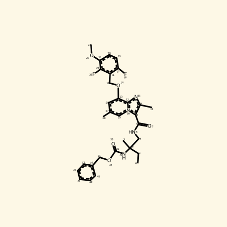 CCC(C)(CNC(=O)c1c(C)nc2c(OCc3c(F)ccc(OC)c3F)cc(C)cn12)NC(=O)OCc1ccccc1